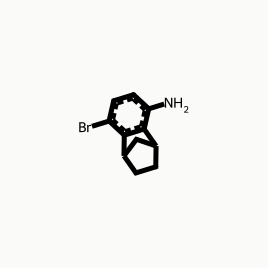 Nc1ccc(Br)c2c1C1CCC2C1